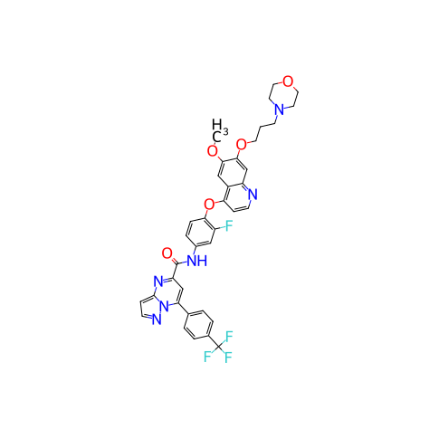 COc1cc2c(Oc3ccc(NC(=O)c4cc(-c5ccc(C(F)(F)F)cc5)n5nccc5n4)cc3F)ccnc2cc1OCCCN1CCOCC1